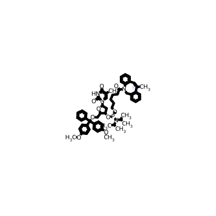 COc1ccc(C(OCC2OC(n3cc(C)c(=O)[nH]c3=O)CC2OP(OCCCCCC(=O)N2Cc3ccccc3/C(C)=C\c3ccccc32)N(C(C)C)C(C)C)(c2ccccc2)c2ccc(OC)cc2)cc1